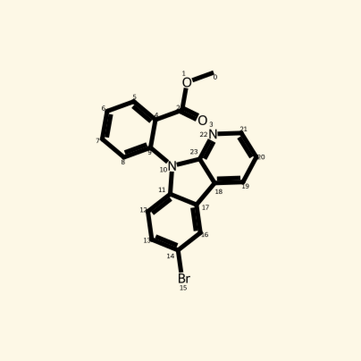 COC(=O)c1ccccc1-n1c2ccc(Br)cc2c2cccnc21